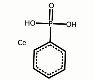 O=P(O)(O)c1ccccc1.[Ce]